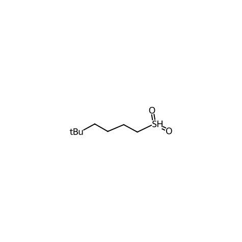 CC(C)(C)CCCC[SH](=O)=O